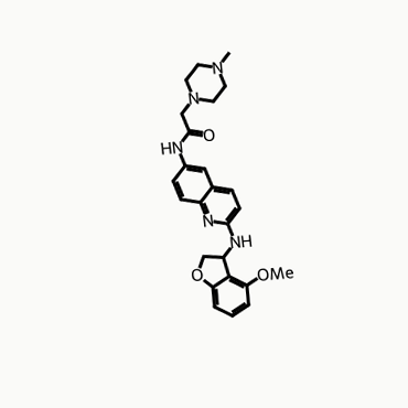 COc1cccc2c1C(Nc1ccc3cc(NC(=O)CN4CCN(C)CC4)ccc3n1)CO2